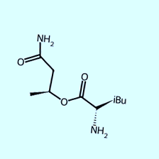 CC[C@H](C)[C@H](N)C(=O)O[C@@H](C)CC(N)=O